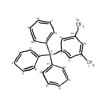 FC(F)(F)c1cc([B-](c2ccccc2)(c2ccccc2)c2ccccc2)cc(C(F)(F)F)c1